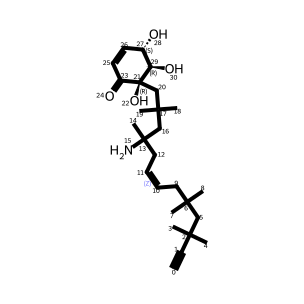 C#CC(C)(C)CC(C)(C)C/C=C\CC(C)(N)CC(C)(C)C[C@]1(O)C(=O)C=C[C@H](O)[C@H]1O